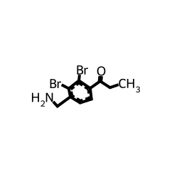 CCC(=O)c1ccc(CN)c(Br)c1Br